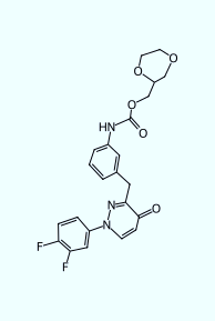 O=C(Nc1cccc(Cc2nn(-c3ccc(F)c(F)c3)ccc2=O)c1)OCC1COCCO1